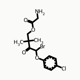 CC(C)(COC(=O)CN)C(=O)C(Br)Oc1ccc(Cl)cc1